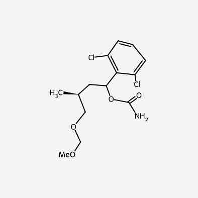 COCOC[C@@H](C)CC(OC(N)=O)c1c(Cl)cccc1Cl